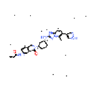 C=CC(=O)Nc1ccc2c(c1)C(=O)N([C@H]1CCC[C@@H](Nc3nc4ccc(-c5cn[nH]c5)c(C)n4n3)C1)C2